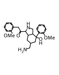 COc1ccccc1CC(=O)C1NCC2C1CC(CN)CC2(O)c1ccccc1OC